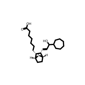 O=C(O)CCCCCC[C@@H]1[C@H](/C=C/C(O)C2CCCCCC2)[C@@H]2CC[C@H]1S2